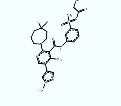 Cc1c(-c2cnn(C)c2)cnc(N2CCCC(F)(F)CC2)c1C(=O)Nc1cccc(S(C)(=O)=NC(=O)CO)c1